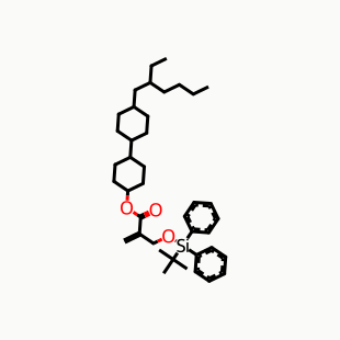 C=C(CO[Si](c1ccccc1)(c1ccccc1)C(C)(C)C)C(=O)OC1CCC(C2CCC(CC(CC)CCCC)CC2)CC1